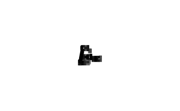 Cl.Cl.[CH3][SnH]